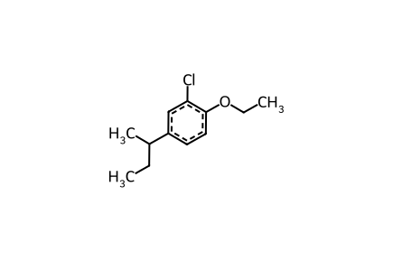 CCOc1ccc(C(C)CC)cc1Cl